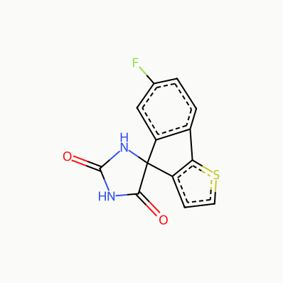 O=C1NC(=O)C2(N1)c1cc(F)ccc1-c1sccc12